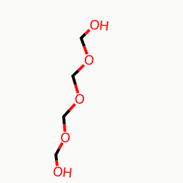 OCOCOCOCO